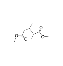 COC(=O)CC(C)C(C)C(=O)OC